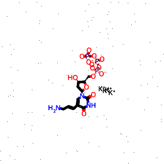 NCC=Cc1cn([C@H]2C[C@H](O)[C@@H](COP(=O)([O-])OP(=O)([O-])OP(=O)([O-])[O-])O2)c(=O)[nH]c1=O.[K+].[K+].[K+].[K+]